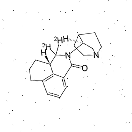 [2H]C1([2H])[C@H]2CCCc3cccc(c32)C(=O)N1[C@@H]1CN2CCC1CC2